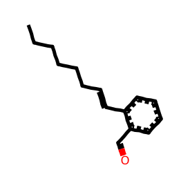 CCCCCC/C=C/c1ccccc1C=O